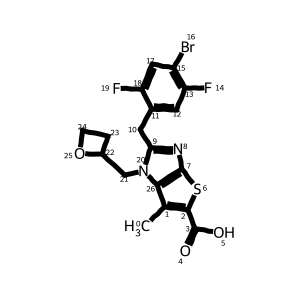 Cc1c(C(=O)O)sc2nc(Cc3cc(F)c(Br)cc3F)n(CC3CCO3)c12